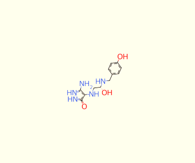 Nc1[nH][nH]c(=O)c1NC[C@@H](O)NCc1ccc(O)cc1